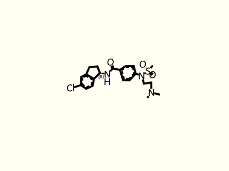 CN(C)CCN(c1ccc(C(=O)N[C@@H]2CCc3cc(Cl)ccc32)cc1)S(C)(=O)=O